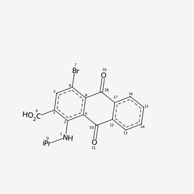 CC(C)Nc1c(C(=O)O)cc(Br)c2c1C(=O)c1ccccc1C2=O